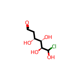 O=CC[C@@H](O)[C@H](O)[C@H](O)C(O)Cl